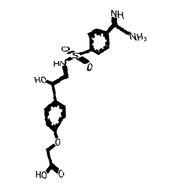 N=C(N)c1ccc(S(=O)(=O)NCC(O)c2ccc(OCC(=O)O)cc2)cc1